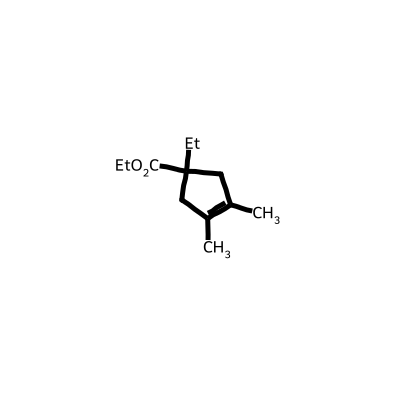 CCOC(=O)C1(CC)CC(C)=C(C)C1